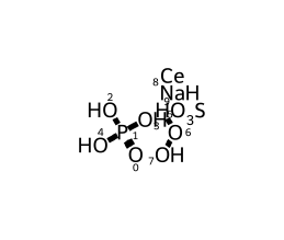 O=P(O)(O)O.O=S(=O)(O)OO.[Ce].[NaH]